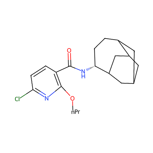 CCCOc1nc(Cl)ccc1C(=O)N[C@@H]1CCC2CC3CC2CC1C3